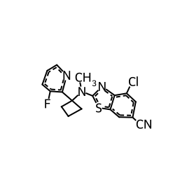 CN(c1nc2c(Cl)cc(C#N)cc2s1)C1(c2ncccc2F)CCC1